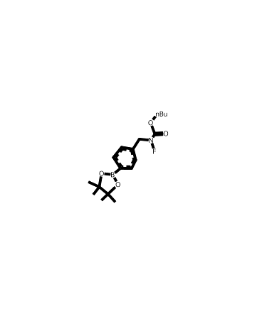 CCCCOC(=O)N(F)Cc1ccc(B2OC(C)(C)C(C)(C)O2)cc1